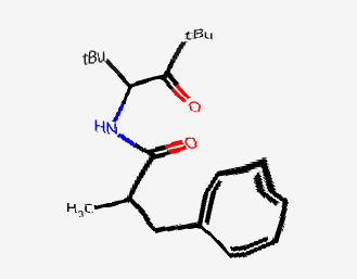 CC(Cc1ccccc1)C(=O)NC(C(=O)C(C)(C)C)C(C)(C)C